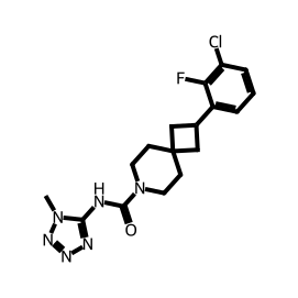 Cn1nnnc1NC(=O)N1CCC2(CC1)CC(c1cccc(Cl)c1F)C2